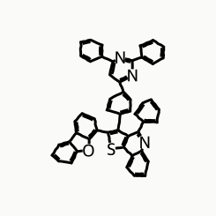 c1ccc(-c2cc(-c3ccc(-c4c(-c5cccc6c5oc5ccccc56)sc5c4c(-c4ccccc4)nc4ccccc45)cc3)nc(-c3ccccc3)n2)cc1